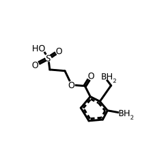 BCc1c(B)cccc1C(=O)OCCS(=O)(=O)O